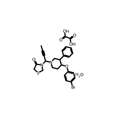 CC#CC(N1CCC(Oc2ccc(Br)cc2)C(c2ccccc2)C1)N1CSCC1=O.O.O=C(O)C(=O)O